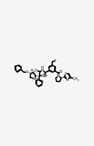 Cc1csc([C@H]2CCCN2C(=O)c2cc(CF)cc(C(=O)NC(C)C(O)(c3ccccc3)[C@H]3C[C@@H](OCc4ccccc4)CN3)c2)n1